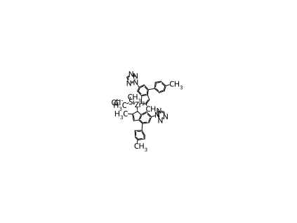 CC1=Cc2c(-c3ccc(C)cc3)cc(-n3ncnn3)cc2[C@@H]1[Zr+2]([C@H]1C(C)=Cc2c(-c3ccc(C)cc3)cc(-n3ncnn3)cc21)=[Si](C)C.[Cl-].[Cl-]